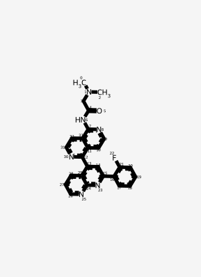 CN(C)CC(=O)Nc1nccc2c(-c3cc(-c4ccccc4F)nc4ncccc34)nccc12